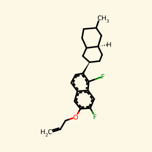 C=CCOc1cc2ccc([C@@H]3CC[C@@H]4CC(C)CCC4C3)c(F)c2cc1F